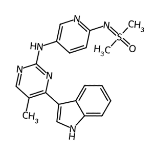 Cc1cnc(Nc2ccc(N=S(C)(C)=O)nc2)nc1-c1c[nH]c2ccccc12